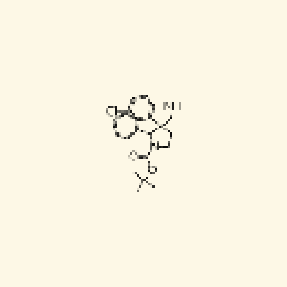 CC(C)(C)OC(=O)N1CCC2(CNc3ccc(Cl)cc32)C1c1ccccc1